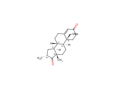 CSC[C@]12CCC(=O)C=C1CC[C@@H]1[C@@H]2CC[C@]2(C)C(=O)[C@H](C)C[C@@H]12